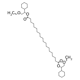 C=COCC(OC(=O)CCCCCCCCCCCCCCCCCCC(=O)OC(COC=C)C1CCCCC1)C1CCCCC1